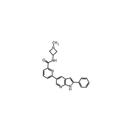 CN1CC(NC(=O)c2cccc(-c3cnc4[nH]c(-c5ccccc5)cc4c3)n2)C1